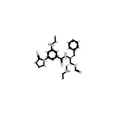 CCNC[C@@H](OC=O)[C@H](Cc1ccccc1)NC(=O)c1cc(NCC)cc(N2CCCC2=O)c1